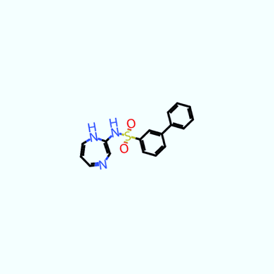 O=S(=O)(NC1=CN=CC=CN1)c1cccc(-c2ccccc2)c1